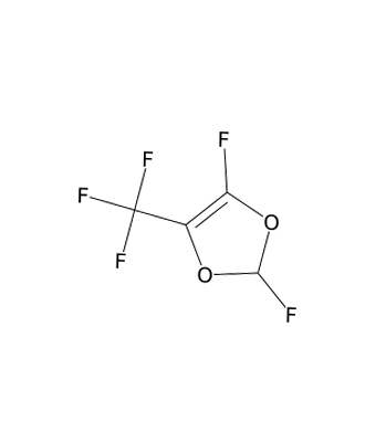 FC1=C(C(F)(F)F)OC(F)O1